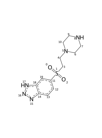 O=S(=O)(CCN1CCNCC1)c1ccc2nn[nH]c2c1